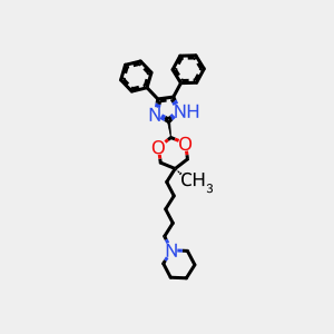 C[C@]1(CCCCCN2CCCCC2)CO[C@@H](c2nc(-c3ccccc3)c(-c3ccccc3)[nH]2)OC1